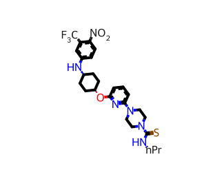 CCCNC(=S)N1CCN(c2cccc(O[C@H]3CC[C@H](Nc4ccc([N+](=O)[O-])c(C(F)(F)F)c4)CC3)n2)CC1